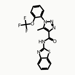 Cc1c(C(=O)Nc2nc3ccccc3s2)nnn1-c1ccccc1OC(F)(F)F